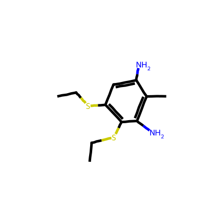 CCSc1cc(N)c(C)c(N)c1SCC